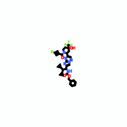 O=C(N[C@H](c1cn2ncc(C3CC(O)(C(F)(F)F)CCN3C(=O)C34CC(F)(C3)C4)nc2n1)C(C1CC1)C1CC1)OCc1ccccc1